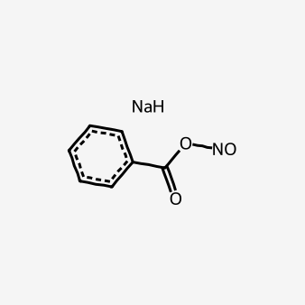 O=NOC(=O)c1ccccc1.[NaH]